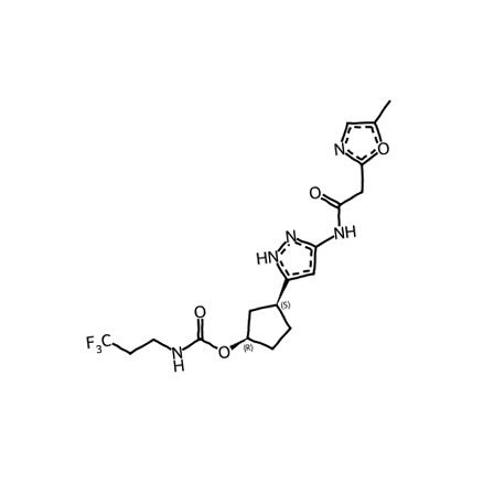 Cc1cnc(CC(=O)Nc2cc([C@H]3CC[C@@H](OC(=O)NCCC(F)(F)F)C3)[nH]n2)o1